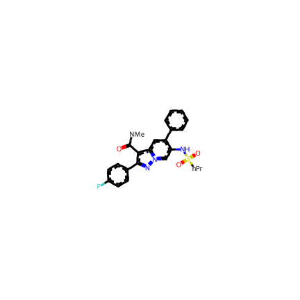 CCCS(=O)(=O)Nc1cn2nc(-c3ccc(F)cc3)c(C(=O)NC)c2cc1-c1ccccc1